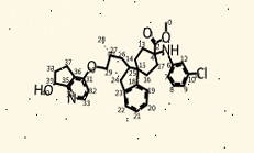 COC(=O)C1(Nc2cccc(Cl)c2)CCC2(CC1)c1ccccc1CC2C[C@@H](C)COc1ccnc2c1CCC2O